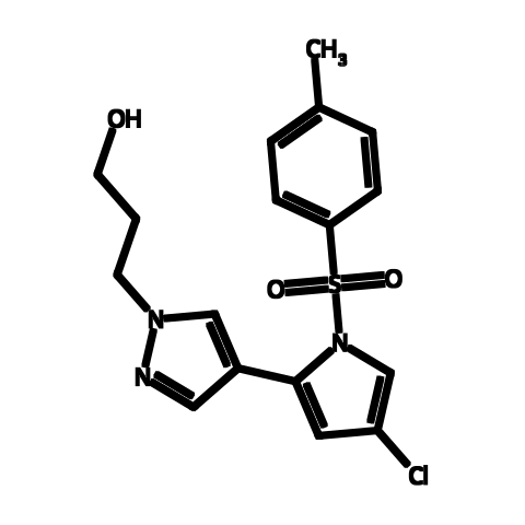 Cc1ccc(S(=O)(=O)n2cc(Cl)cc2-c2cnn(CCCO)c2)cc1